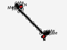 C=NCc1ccc([C@@]23Oc4cc(OC)nc(OC)c4[C@]2(O)[C@H](O)[C@H](CNC(=O)CCOCCOCCOCCOCCOCCOCCOCCOCCOCCOCCOCCC(=O)NC[C@H]2[C@@H](O)[C@@]4(O)c5c(cc(OC)nc5OC)O[C@@]4(c4ccc(C#N)cc4)[C@@H]2c2ccccc2)[C@H]3c2ccccc2)cc1